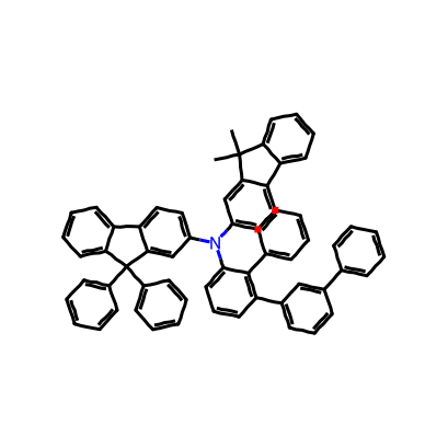 CC1(C)c2ccccc2-c2ccc(N(c3ccc4c(c3)C(c3ccccc3)(c3ccccc3)c3ccccc3-4)c3cccc(-c4cccc(-c5ccccc5)c4)c3-c3ccccc3)cc21